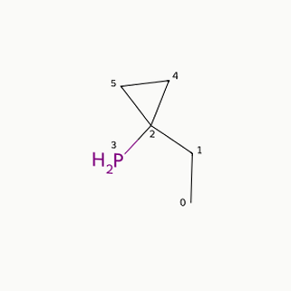 CCC1(P)CC1